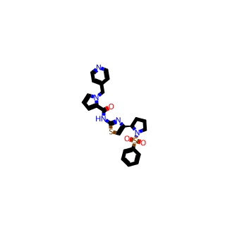 O=C(Nc1nc([C@H]2CCCN2S(=O)(=O)c2ccccc2)cs1)c1cccn1Cc1ccncc1